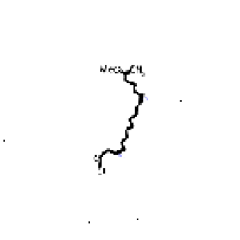 C=C(CCC/C=C\CCCCCCC/C=C\CC1OC1CC)OC